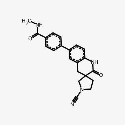 CNC(=O)c1ccc(-c2ccc3c(c2)CC2(CCN(C#N)C2)C(=O)N3)cc1